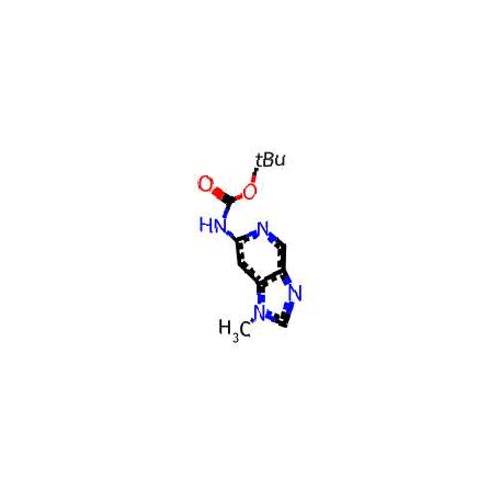 Cn1cnc2cnc(NC(=O)OC(C)(C)C)cc21